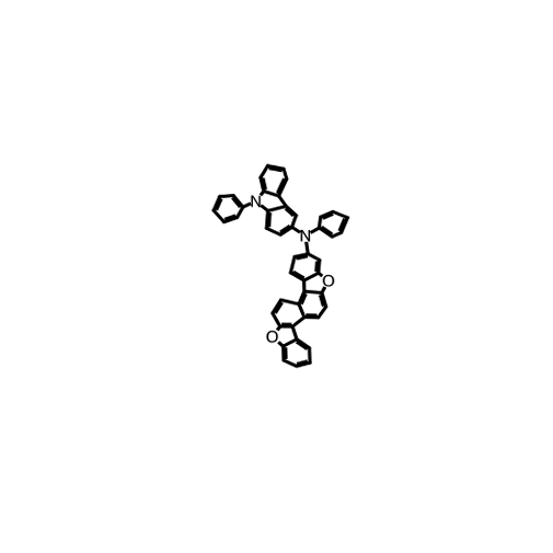 c1ccc(N(c2ccc3c(c2)oc2ccc4c(ccc5oc6ccccc6c54)c23)c2ccc3c(c2)c2ccccc2n3-c2ccccc2)cc1